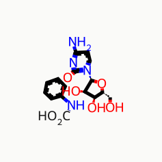 Nc1ccn([C@@H]2O[C@H](CO)[C@@H](O)[C@H]2O)c(=O)n1.O=C(O)Nc1ccccc1